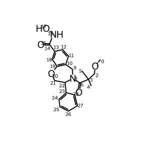 COCC(C)(C)C(=O)N1Cc2ccc(C(=O)NO)cc2OCC1c1ccccc1